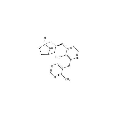 Cc1ncccc1Oc1ncnc(O[C@H]2CC3CC[C@@H](C2)N3)c1C